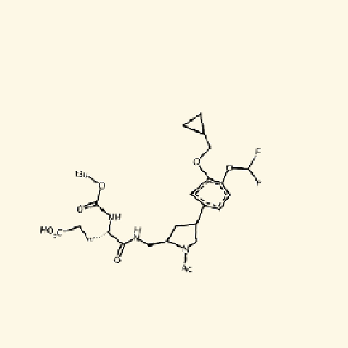 CC(=O)N1CC(c2ccc(OC(F)F)c(OCC3CC3)c2)C[C@@H]1CNC(=O)[C@H](CCC(=O)O)NC(=O)OC(C)(C)C